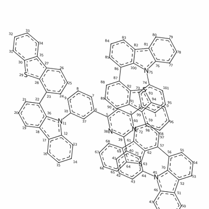 c1cc(-c2cc(-c3cccc(-n4c5ccccc5c5cccc(-c6cccc7c6sc6ccccc67)c54)c3)nc(-c3cccc(-n4c5ccccc5c5cccc(-c6cccc7c6sc6ccccc67)c54)c3)n2)cc(-n2c3ccccc3c3cccc(-c4cccc5c4sc4ccccc45)c32)c1